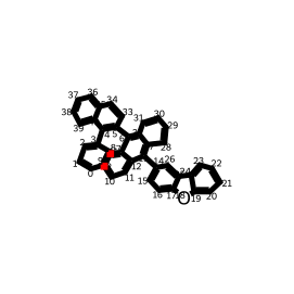 c1ccc(-c2c(-c3c4ccccc4c(-c4ccc5oc6ccccc6c5c4)c4ccccc34)ccc3ccccc23)cc1